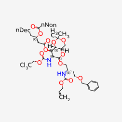 C=CCOC(=O)N[C@@H](CCOCc1ccccc1)CO[C@@H]1O[C@@H]2COC(C)(C)O[C@H]2[C@H](OC(=O)C[C@@H](CCCCCCCCCCC)OC(=O)CCCCCCCCC)[C@H]1NC(=O)OCC(Cl)(Cl)Cl